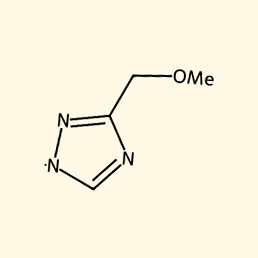 COCC1=N[N]C=N1